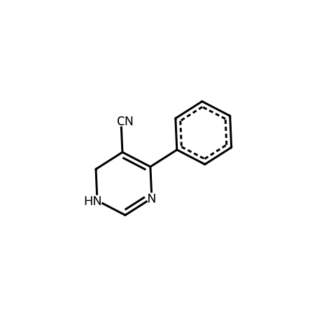 N#CC1=C(c2ccccc2)N=CNC1